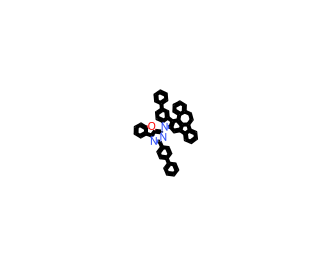 c1ccc(-c2ccc(-c3nc(-n4c5ccc(-c6ccccc6)cc5c5c6c7c(cc54)-c4ccccc4C7CCc4ccccc4-6)c4oc5ccccc5c4n3)cc2)cc1